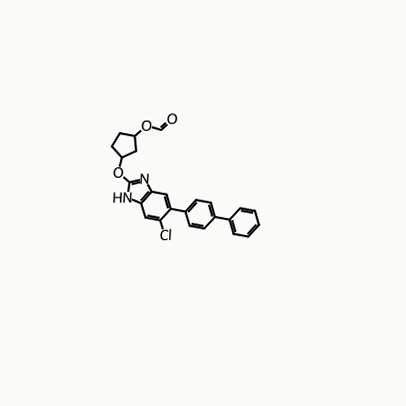 O=COC1CCC(Oc2nc3cc(-c4ccc(-c5ccccc5)cc4)c(Cl)cc3[nH]2)C1